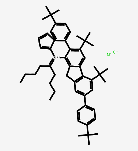 CCCC[C](CCCC)=[Zr+2]([C]1=CC=CC1)[c]1c2c(cc(C(C)(C)C)c1-c1ccc(C(C)(C)C)cc1)-c1c(cc(-c3ccc(C(C)(C)C)cc3)cc1C(C)(C)C)C2.[Cl-].[Cl-]